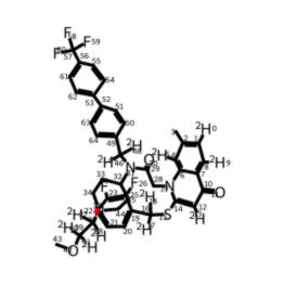 [2H]c1c(C)c([2H])c2c(c1[2H])c(=O)c([2H])c(SC([2H])([2H])c1cccc(F)c1F)n2CC(=O)N(C1CCN(C([2H])([2H])C([2H])([2H])OC)CC1)C([2H])([2H])c1ccc(-c2ccc(C(F)(F)F)cc2)cc1